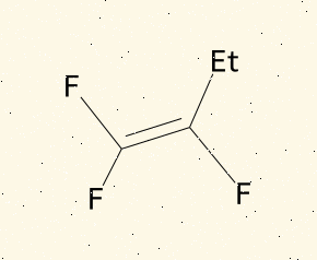 CCC(F)=C(F)F